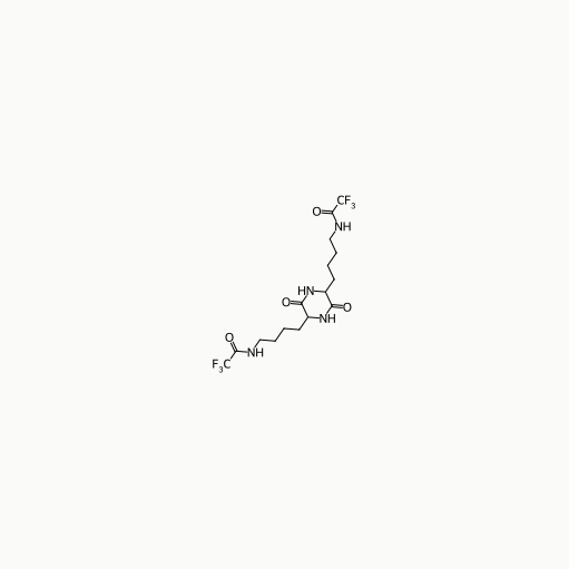 O=C1NC(CCCCNC(=O)C(F)(F)F)C(=O)NC1CCCCNC(=O)C(F)(F)F